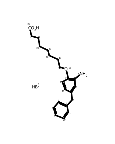 Br.Nc1cc(Cc2ccccc2)ccc1OCCCCCCCC(=O)O